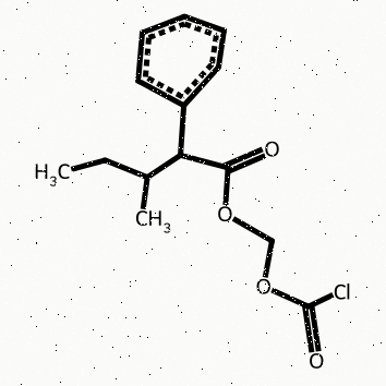 CCC(C)C(C(=O)OCOC(=O)Cl)c1ccccc1